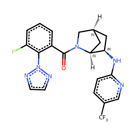 O=C(c1cccc(F)c1-n1nccn1)N1C[C@H]2C[C@@H](Nc3ccc(C(F)(F)F)cn3)[C@@H]1C2